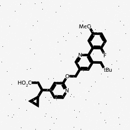 COc1ccc(F)c(-c2ncc(COc3cc(C(CC(=O)O)C4CC4)ccn3)cc2CC(C)(C)C)c1